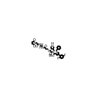 CC(C)(C)[C@H](c1cc(-c2cc(F)ccc2F)cn1Cc1ccccc1)N(CC1CCNC1)C(=O)CSCCC(=O)NCCNC(=O)CN1C(=O)C=CC1=O